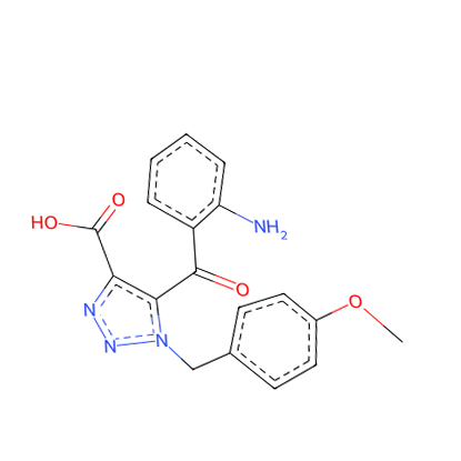 COc1ccc(Cn2nnc(C(=O)O)c2C(=O)c2ccccc2N)cc1